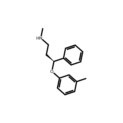 CNCC[C@H](Oc1cccc(C)c1)c1ccccc1